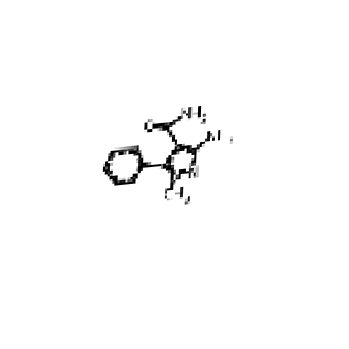 Cn1nc(N)c(C(N)=O)c1-c1ccccc1